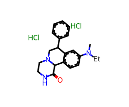 CCN(C)c1ccc2c(c1)C(c1ccccc1)CN1CCNC(=O)C21.Cl.Cl